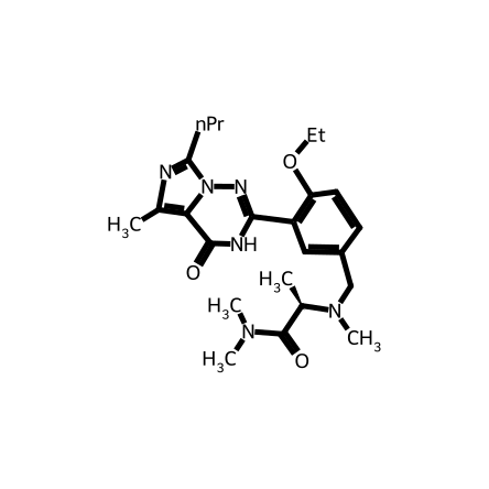 CCCc1nc(C)c2c(=O)[nH]c(-c3cc(CN(C)[C@H](C)C(=O)N(C)C)ccc3OCC)nn12